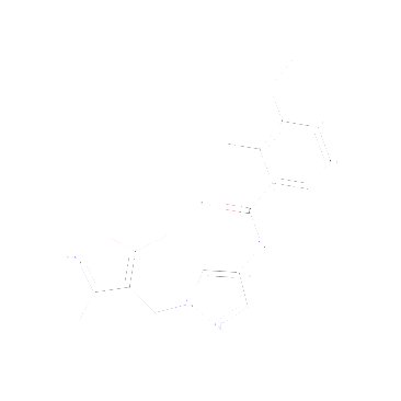 COc1cccc(C(=O)Nc2cnn(Cc3c(C)noc3C)c2)c1C